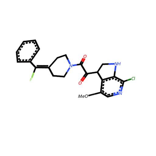 COc1cnc(Cl)c2c1C(C(=O)C(=O)N1CCC(=C(F)c3ccccc3)CC1)CN2